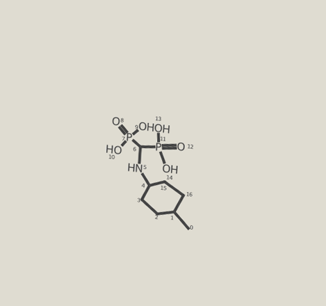 CC1CCC(NC(P(=O)(O)O)P(=O)(O)O)CC1